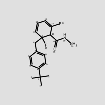 CC(C)(C)c1ccc(CC2(F)C=CC=C(F)C2C(=O)NN)cc1